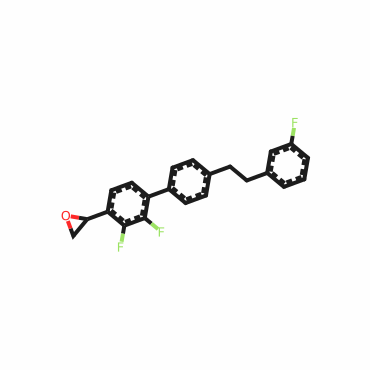 Fc1cccc(CCc2ccc(-c3ccc(C4CO4)c(F)c3F)cc2)c1